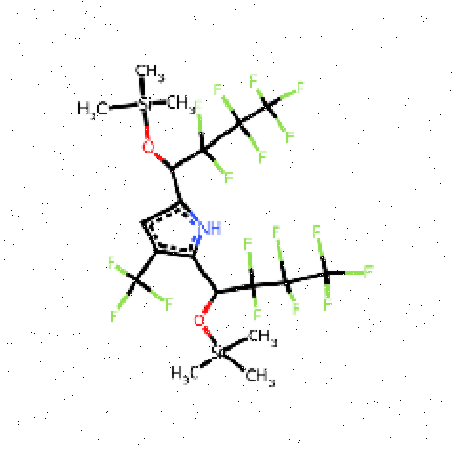 C[Si](C)(C)OC(c1cc(C(F)(F)F)c(C(O[Si](C)(C)C)C(F)(F)C(F)(F)C(F)(F)F)[nH]1)C(F)(F)C(F)(F)C(F)(F)F